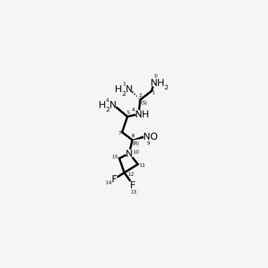 NC[C@@H](N)NC(N)C[C@@H](N=O)N1CC(F)(F)C1